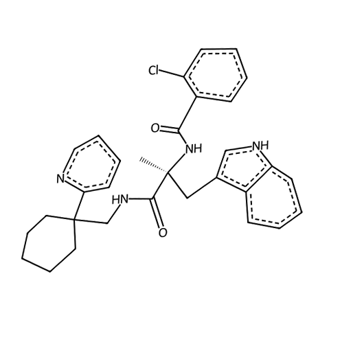 C[C@@](Cc1c[nH]c2ccccc12)(NC(=O)c1ccccc1Cl)C(=O)NCC1(c2ccccn2)CCCCC1